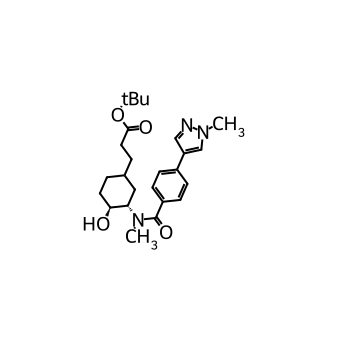 CN(C(=O)c1ccc(-c2cnn(C)c2)cc1)[C@H]1CC(CCC(=O)OC(C)(C)C)CC[C@@H]1O